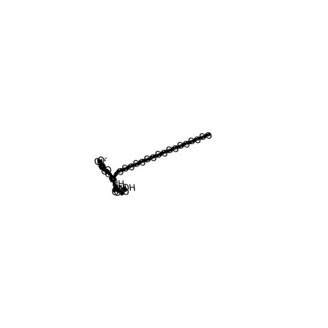 COCCOCCOCCOCCOCCOCCOCCOCCOCCOCCOCCOCCOCCOCCOCCOCCOCC#Cc1cc(NC[C@@H](C=O)NC(=O)[C@@H](NC(=O)O)C(C)C)ccc1COC(=O)Oc1ccc([N+](=O)[O-])cc1